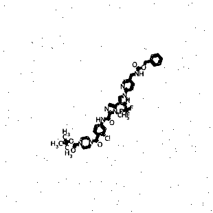 Cn1c(-c2cn(-c3ccc(CNC(=O)OCc4ccccc4)cn3)nc2C(F)(F)F)cnc1C(=O)Nc1ccc(C(=O)N2CCN(C(=O)OC(C)(C)C)CC2)c(Cl)c1